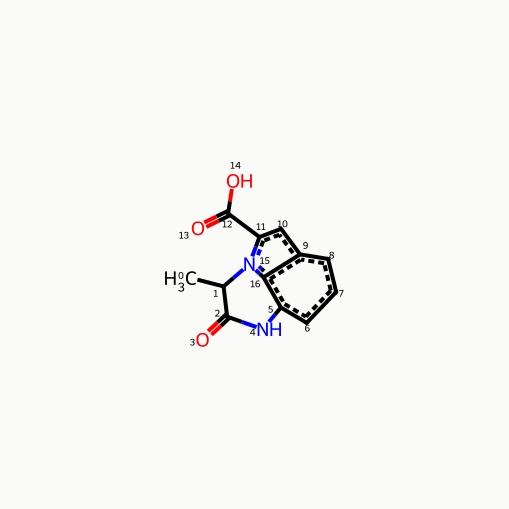 CC1C(=O)Nc2cccc3cc(C(=O)O)n1c23